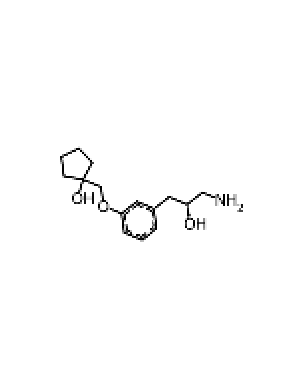 NC[C@@H](O)Cc1cccc(OCC2(O)CCCC2)c1